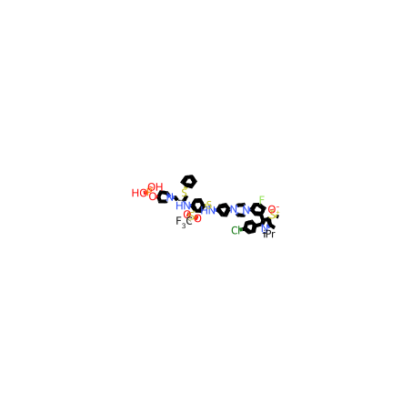 Cc1c([S+](C)[O-])c(-c2cc(F)cc(N3CCN(c4ccc(NSc5ccc(N[C@H](CCN6CCC(OP(O)O)CC6)CSc6ccccc6)c(S(=O)(=O)C(F)(F)F)c5)cc4)CC3)c2)c(-c2ccc(Cl)cc2)n1C(C)C